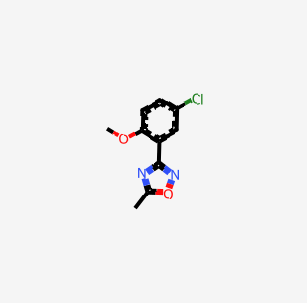 COc1ccc(Cl)cc1-c1noc(C)n1